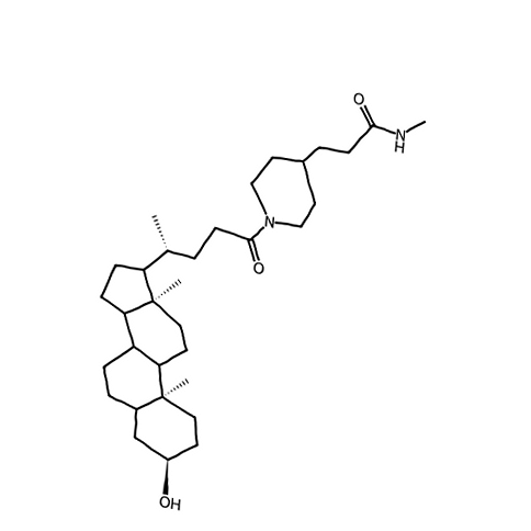 CNC(=O)CCC1CCN(C(=O)CC[C@@H](C)C2CCC3C4CCC5C[C@H](O)CC[C@]5(C)C4CC[C@@]32C)CC1